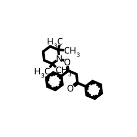 CC1(C)CCCC(C)(C)N1OC(CC(=O)c1ccccc1)c1ccccc1